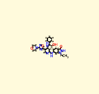 CCn1[nH]c(=O)c2ccc(Nc3cc(N[C@H](CO)c4ccccc4)c(-c4nc(N5CCOCC5)no4)cn3)cc21